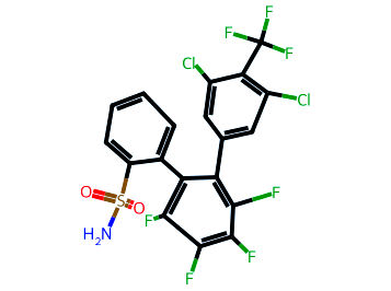 NS(=O)(=O)c1ccccc1-c1c(F)c(F)c(F)c(F)c1-c1cc(Cl)c(C(F)(F)F)c(Cl)c1